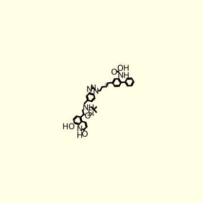 CC(C)(C)[Si](C)(C)OC(CNCc1ccc2c(c1)nnn2CC/C=C/c1ccc(-c2ccccc2)c(NC(=O)O)c1)c1ccc(O)c2[nH]c(=O)ccc12